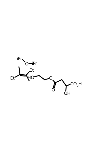 CC(C)OC(C)C.CC/C(C)=C(\C)CC.O=C(CC(O)C(=O)O)OCCO